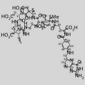 C#CC[C@H](SCNC(=O)[C@H](CC(=O)O)NC(=O)[C@]1(CC(=O)O)SC1NC(=O)[C@H](CCCNC(=N)N)NC(=O)C(CC(=O)O)(NC(=O)CC[C@H](NC(=O)c1ccc(NCc2cnc3nc(N)[nH]c(=O)c3n2)cc1)C(=O)O)SC)C(=O)O